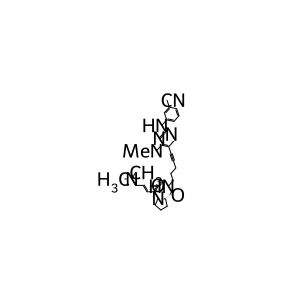 CNc1nc(Nc2cccc(C#N)c2)ncc1C#CCCCNC(=O)[C@@H]1CCCN1C(=O)/C=C/CN(C)C